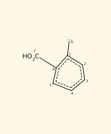 [C]c1ccccc1C(=O)O